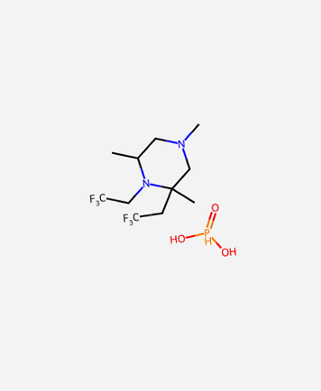 CC1CN(C)CC(C)(CC(F)(F)F)N1CC(F)(F)F.O=[PH](O)O